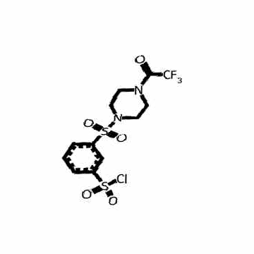 O=C(N1CCN(S(=O)(=O)c2cccc(S(=O)(=O)Cl)c2)CC1)C(F)(F)F